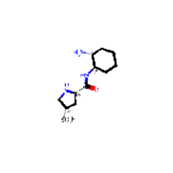 N[C@@H]1CCCC[C@H]1NC(=O)[C@@H]1C[C@H](S(=O)(=O)O)CN1